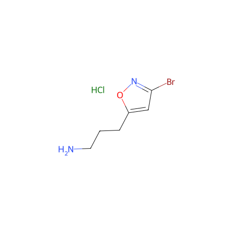 Cl.NCCCc1cc(Br)no1